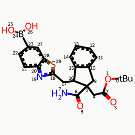 CC(C)(C)OC(=O)CC1(C(N)=O)Cc2ccccc2C1Cc1nc2ccc(B(O)O)cc2s1